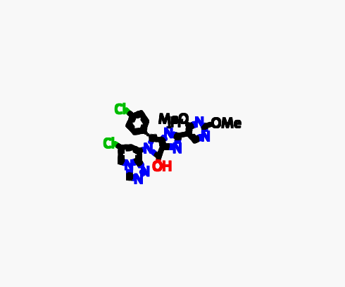 COc1ncc(-c2nc3c(n2C(C)C)[C@@H](c2ccc(Cl)cc2)N(c2cc(Cl)cn4cnnc24)C3O)c(OC)n1